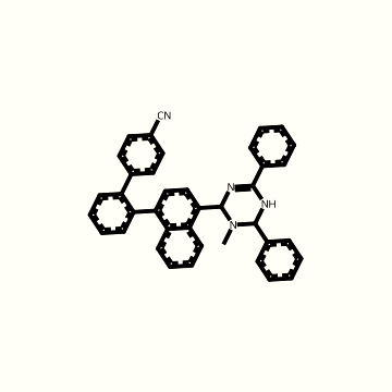 CN1C(c2ccc(-c3ccccc3-c3ccc(C#N)cc3)c3ccccc23)N=C(c2ccccc2)NC1c1ccccc1